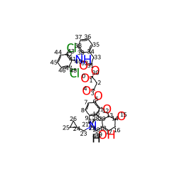 O=C(CC(=O)Oc1ccc2c3c1OC1C(=O)CC[C@@]4(O)[C@@H](C2)N(CC2CC2)CC[C@]314)OC(=O)Cc1ccccc1Nc1c(Cl)cccc1Cl